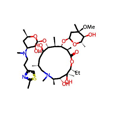 CC[C@H]1OC(=O)[C@H](C)[C@@H](O[C@H]2C[C@@](C)(OC)[C@@H](O)[C@H](C)O2)[C@H](C)[C@@H](O[C@@H]2O[C@H](C)C[C@H](N(C)CCc3csc(C)n3)[C@H]2O)[C@](C)(O)C[C@@H](C)CN(C)[C@H](C)[C@@H](O)[C@]1(C)O